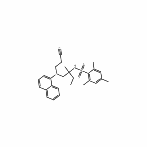 CCC(C)(CN(CCC#N)c1cccc2ccccc12)NS(=O)(=O)c1c(C)cc(C)cc1C